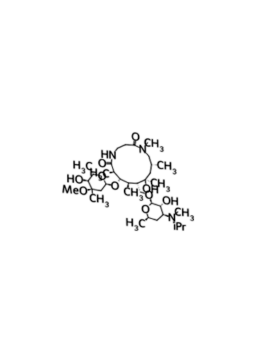 CO[C@]1(C)C[C@H](O[C@H]2[C@H](C)[C@@H](CO[C@@H]3O[C@H](C)C[C@H](N(C)C(C)C)[C@H]3O)[C@](C)(O)C[C@@H](C)CN(C)C(=O)CCNC(=O)[C@@H]2C)O[C@@H](C)[C@@H]1O